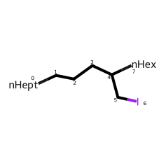 CCCCCCCCCCC(CI)CCCCCC